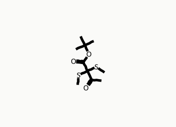 CSC(SC)(C(C)=O)C(=O)OC(C)(C)C